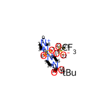 C[n+]1ccn(S(=O)(=O)N2CCN(C(=O)OC(C)(C)C)CC2)c1.O=S(=O)([O-])C(F)(F)F